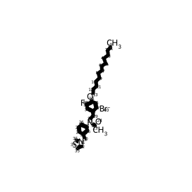 CCCCCCCCCCCCCCOc1ccc(CCN(C(C)=O)c2cccc(C[n+]3ccsc3)c2)cc1F.[Br-]